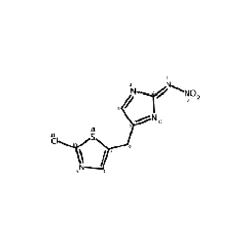 O=[N+]([O-])N=C1N=CC(Cc2cnc(Cl)s2)=N1